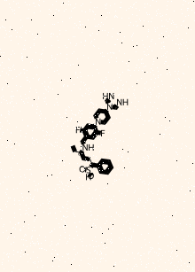 CC[C@@H](CC[C@H](c1ccccc1)[SH](=O)=O)NCc1cc(F)c(N2CCC(N(C=N)C=N)CC2)cc1F